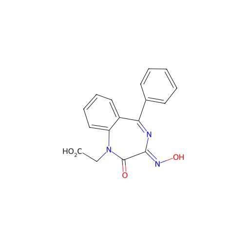 O=C(O)Cn1c(=O)c(=NO)nc(-c2ccccc2)c2ccccc21